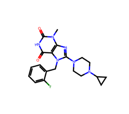 Cn1c(=O)[nH]c(=O)c2c1nc(N1CCN(C3CC3)CC1)n2Cc1ccccc1F